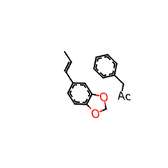 CC(=O)Cc1ccccc1.CC=Cc1ccc2c(c1)OCO2